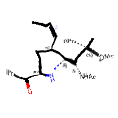 C/C=C\[C@@H]1C[C@H](C(=O)C(C)C)N[C@H]1[C@@H](NC(C)=O)[C@](C)(CCC)OC